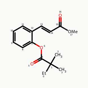 CCC(C)(C)C(=O)Oc1ccccc1/C=C/C(=O)OC